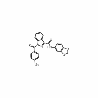 CC(C)(C)c1ccc(C(=O)n2nc(C(=O)Nc3ccc4c(c3)OCO4)c3ccccc32)cc1